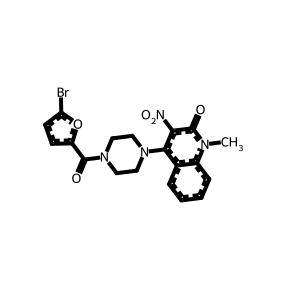 Cn1c(=O)c([N+](=O)[O-])c(N2CCN(C(=O)c3ccc(Br)o3)CC2)c2ccccc21